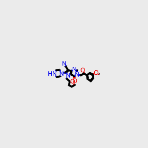 COc1cccc(C(=O)Cn2cnc3c(C#N)c(N4CCNCC4)n(CC4CCCO4)c3c2=O)c1